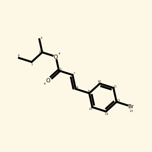 CCC(C)OC(=O)/C=C/c1ccc(Br)cc1